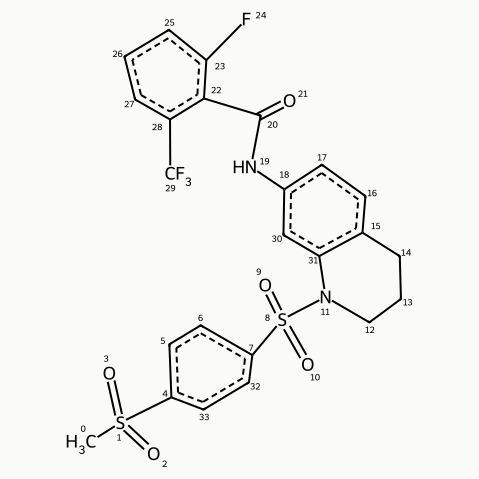 CS(=O)(=O)c1ccc(S(=O)(=O)N2CCCc3ccc(NC(=O)c4c(F)cccc4C(F)(F)F)cc32)cc1